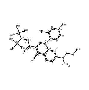 CN(CCF)c1ccc2c(=O)c(C(=O)NC(C(F)(F)F)C(F)(F)F)cn(-c3ccc(F)cc3F)c2n1